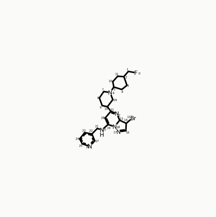 FCC1CCC(N2CCCC(C3=NC4C(Br)C=NN4C(NCc4cccnc4)=C3)C2)CC1